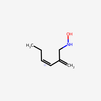 C=C(/C=C\CC)CNO